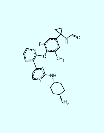 Cc1cc(C2(NC=O)CC2)cc(F)c1Oc1ncccc1-c1ccnc(N[C@H]2CC[C@H](N)CC2)n1